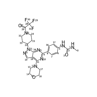 CNC(=O)Nc1ccc(-c2nc(N3CCOCC3)c3cnn(C4CCN(C(=O)C(F)(F)F)CC4)c3n2)cc1